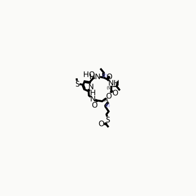 C/C=C1\NC(O)c2cc(SC)cc(n2)CNC(=O)C[C@@H](/C=C/CCSC(C)=O)OC(=O)[C@H](C(C)C)NC1=O